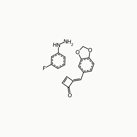 NNc1cccc(F)c1.O=C1C=CC1=Cc1ccc2c(c1)OCO2